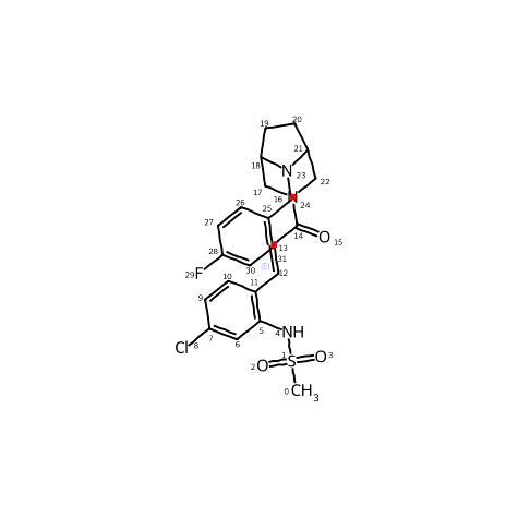 CS(=O)(=O)Nc1cc(Cl)ccc1/C=C/C(=O)N1CC2CCC(C1)N2Cc1ccc(F)cc1